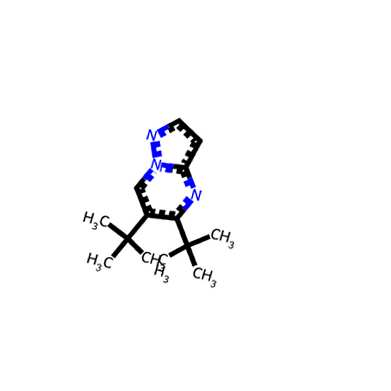 CC(C)(C)c1cn2nccc2nc1C(C)(C)C